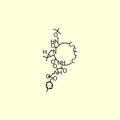 Cc1ccc(S(=O)(=O)CNC(=O)C(=O)[C@@H]2CCCCCCCCCCC(NCOC(C)(C)C)C(=O)N3C[C@H]4C(C3C(=O)N2)C4(C)C)cc1